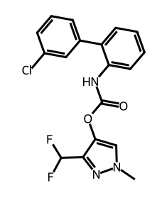 Cn1cc(OC(=O)Nc2ccccc2-c2cccc(Cl)c2)c(C(F)F)n1